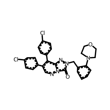 O=c1n(Cc2ccccc2N2CCOCC2)nc2c(-c3ccc(Cl)cc3)c(-c3ccc(Cl)cc3)cnn12